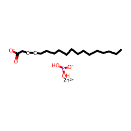 CCCCCCCCCCCCCCCCCC(=O)[O-].[O-]P(O)O.[Zn+2]